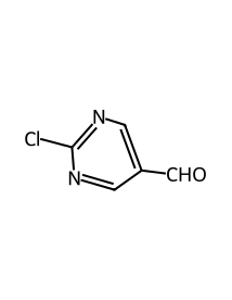 O=Cc1cnc(Cl)nc1